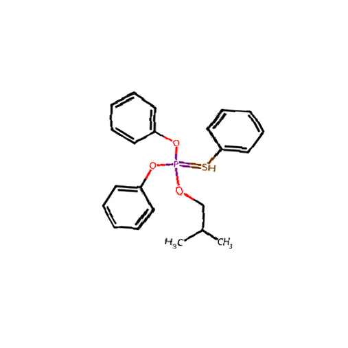 CC(C)COP(Oc1ccccc1)(Oc1ccccc1)=[SH]c1ccccc1